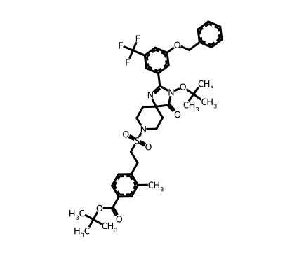 Cc1cc(C(=O)OC(C)(C)C)ccc1CCS(=O)(=O)N1CCC2(CC1)N=C(c1cc(OCc3ccccc3)cc(C(F)(F)F)c1)N(OC(C)(C)C)C2=O